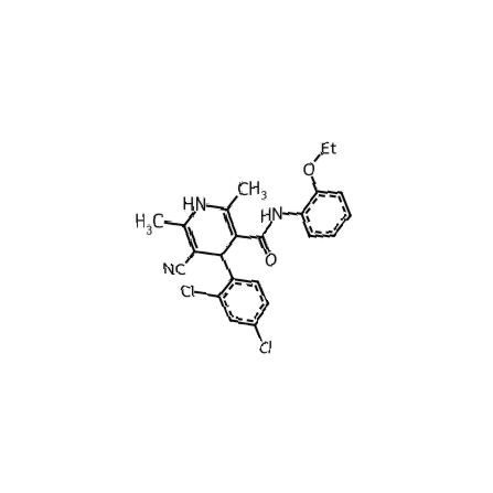 CCOc1ccccc1NC(=O)C1=C(C)NC(C)=C(C#N)C1c1ccc(Cl)cc1Cl